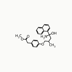 COC(=O)Cc1ccc(OCC(C)CC(N)(O)c2cccc3ccccc23)cc1